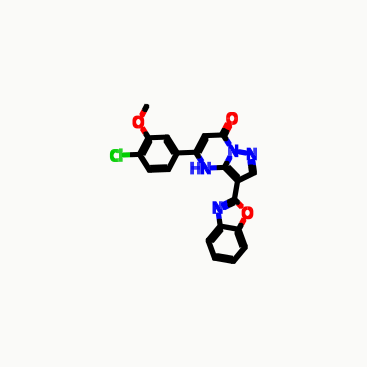 COc1cc(-c2cc(=O)n3ncc(-c4nc5ccccc5o4)c3[nH]2)ccc1Cl